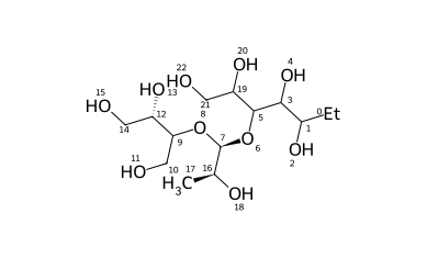 CCC(O)C(O)C(O[C@H](OC(CO)[C@@H](O)CO)[C@H](C)O)C(O)CO